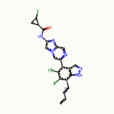 C=C/C=C/c1c(F)c(Cl)c(-c2cn3cc(NC(=O)C4CC4F)nc3cn2)c2cn[nH]c12